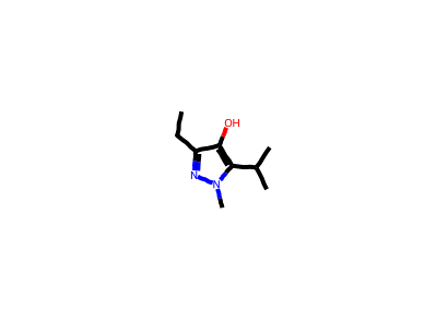 CCc1nn(C)c(C(C)C)c1O